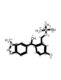 Cn1nnc2ccc(C(O)c3ccc(Cl)cc3CO[Si](C)(C)C(C)(C)C)cc21